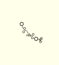 O=C(CCCNC(=O)Oc1ccc([N+](=O)[O-])cc1)OCc1ccccc1